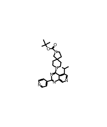 CC(C)c1cncc2nc(-c3ccncc3)nc(N3CCC4(CCN(C(=O)OC(C)(C)C)C4)CC3)c12